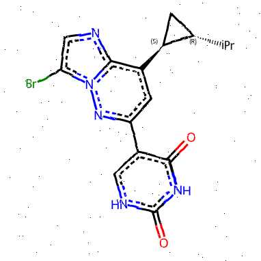 CC(C)[C@H]1C[C@@H]1c1cc(-c2c[nH]c(=O)[nH]c2=O)nn2c(Br)cnc12